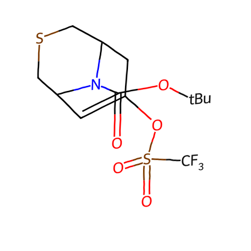 CC(C)(C)OC(=O)N1C2C=C(OS(=O)(=O)C(F)(F)F)CC1CSC2